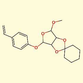 C=Cc1ccc(OC2OC(OC)C3OC4(CCCCC4)OC23)cc1